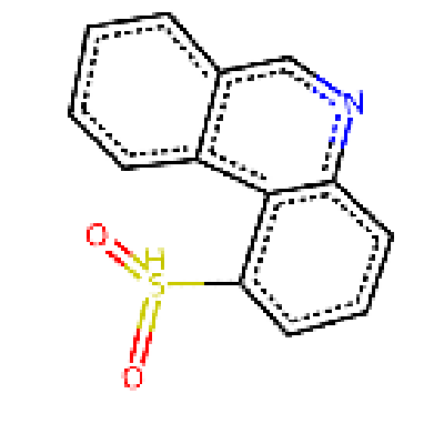 O=[SH](=O)c1cccc2ncc3ccccc3c12